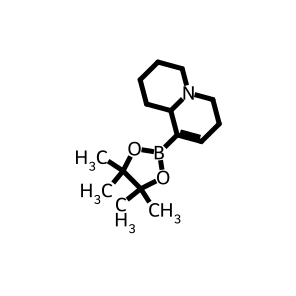 CC1(C)OB(C2=CCCN3CCCCC23)OC1(C)C